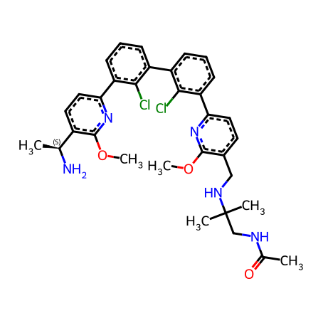 COc1nc(-c2cccc(-c3cccc(-c4ccc([C@H](C)N)c(OC)n4)c3Cl)c2Cl)ccc1CNC(C)(C)CNC(C)=O